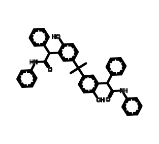 CC(C)(c1ccc(O)c(C(C(=O)Nc2ccccc2)c2ccccc2)c1)c1ccc(O)c(C(C(=O)Nc2ccccc2)c2ccccc2)c1